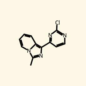 Cc1nc(-c2ccnc(Cl)n2)c2ccccn12